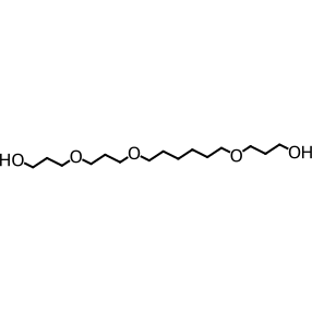 OCCCOCCCCCCOCCCOCCCO